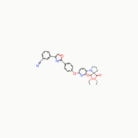 CCOC(=O)C1(C(=O)OCC)CCCN1c1ccc(Oc2ccc(-c3nc(-c4cccc(C#N)c4)co3)cc2)nc1